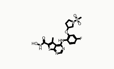 Cc1c(C(=O)NO)sc2ncnc(Nc3ccc(F)cc3OC3CCN(S(C)(=O)=O)C3)c12